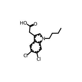 CCCCn1cc(CC(=O)O)c2cc(Cl)c(Cl)cc21